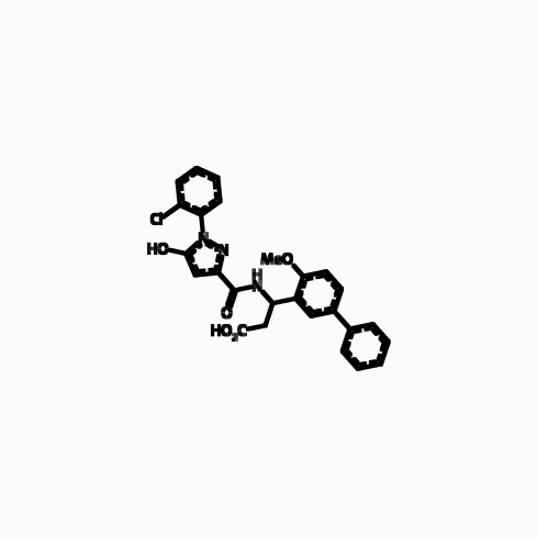 COc1ccc(-c2ccccc2)cc1C(CC(=O)O)NC(=O)c1cc(O)n(-c2ccccc2Cl)n1